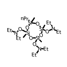 CCC[Si]1(C)O[Si](C)(ON(CC)CC)O[Si](C)(ON(CC)CC)O[Si](C)(ON(CC)CC)O1